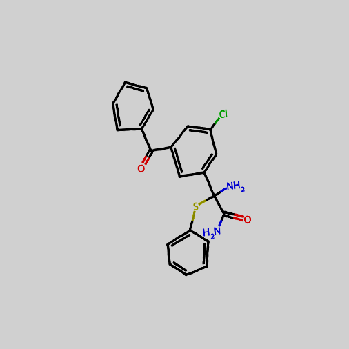 NC(=O)C(N)(Sc1ccccc1)c1cc(Cl)cc(C(=O)c2ccccc2)c1